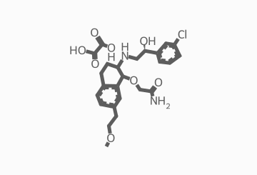 COCCc1ccc2c(c1)C(OCC(N)=O)C(NC[C@H](O)c1cccc(Cl)c1)CC2.O=C(O)C(=O)O